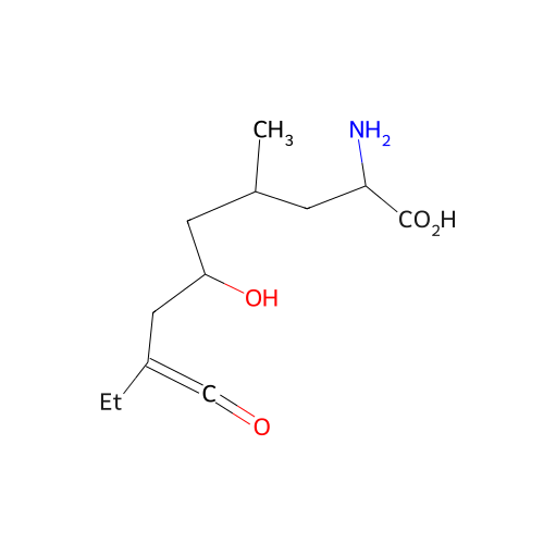 CCC(=C=O)CC(O)CC(C)CC(N)C(=O)O